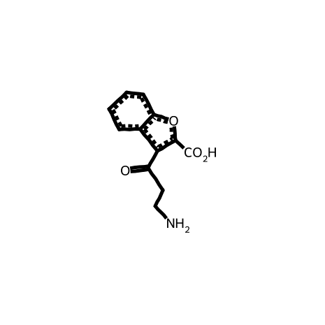 NCCC(=O)c1c(C(=O)O)oc2ccccc12